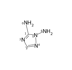 Nc1n[c]nn1N